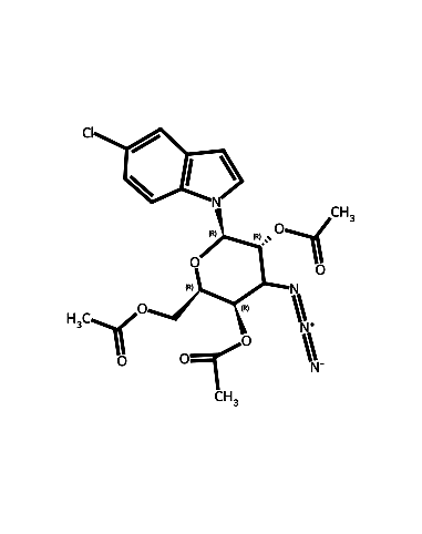 CC(=O)OC[C@H]1O[C@@H](n2ccc3cc(Cl)ccc32)[C@H](OC(C)=O)C(N=[N+]=[N-])[C@H]1OC(C)=O